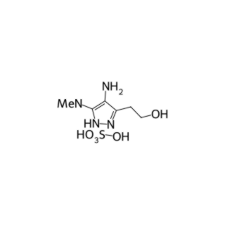 CNc1[nH]nc(CCO)c1N.O=S(=O)(O)O